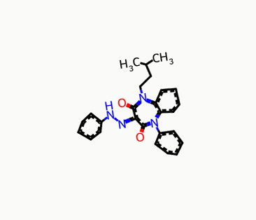 CC(C)CCn1c(=O)c(=NNc2ccccc2)c(=O)n(-c2ccccc2)c2ccccc21